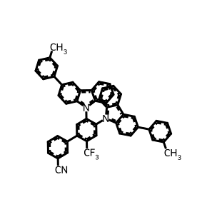 Cc1cccc(-c2ccc3c(c2)c2ccccc2n3-c2cc(-c3cccc(C#N)c3)c(C(F)(F)F)cc2-n2c3ccccc3c3cc(-c4cccc(C)c4)ccc32)c1